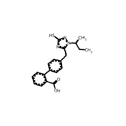 CCC(C)n1nc(S)nc1Cc1ccc(-c2ccccc2C(=O)O)cc1